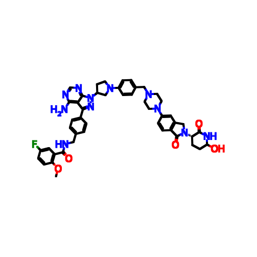 COc1ccc(F)cc1C(=O)NCc1ccc(-c2nn(C3CCN(c4ccc(CN5CCN(c6ccc7c(c6)CN([C@H]6CCC(O)NC6=O)C7=O)CC5)cc4)C3)c3ncnc(N)c23)cc1